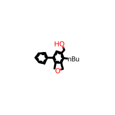 CCCCc1c(CO)cc(-c2ccccc2)c2c1COC2